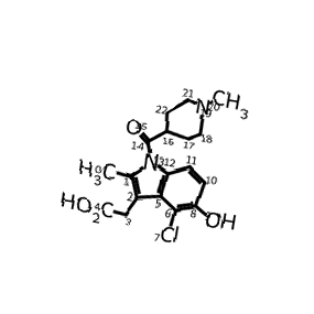 Cc1c(CC(=O)O)c2c(Cl)c(O)ccc2n1C(=O)C1CCN(C)CC1